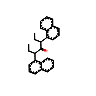 CCC(C(=O)C(CC)c1cccc2ccccc12)c1cccc2ccccc12